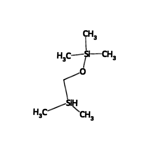 C[SiH](C)CO[Si](C)(C)C